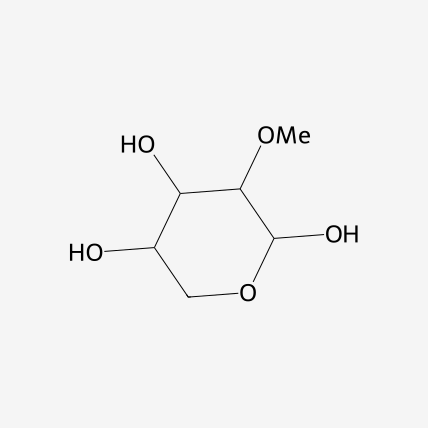 COC1C(O)OCC(O)C1O